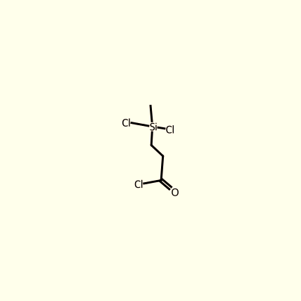 C[Si](Cl)(Cl)CCC(=O)Cl